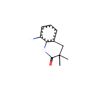 CC1(C)Cc2cccc([NH])c2NC1=O